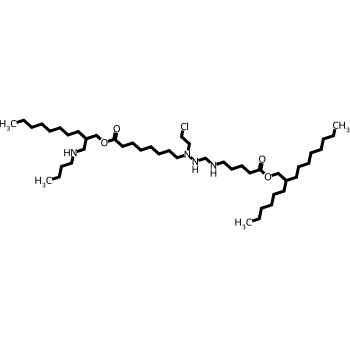 CCCCCCCCC(CCCCCC)COC(=O)CCCCNCNN(CCCl)CCCCCCCC(=O)OCC(CCCCCCCC)CNCCCC